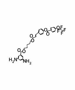 Nc1cc(N)cc(C(=O)OCCCCCOC(=O)C=Cc2ccc(OC(=O)c3ccc(OC(F)(F)C(F)F)cc3)cc2)c1